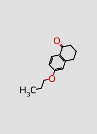 CCCOc1ccc2c(c1)CCCC2=O